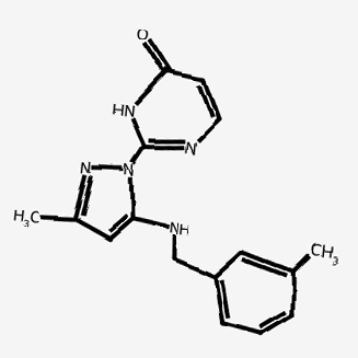 Cc1cccc(CNc2cc(C)nn2-c2nccc(=O)[nH]2)c1